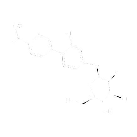 COC(=O)c1ccc(-c2ccc(O[C@@H]3O[C@H](CO)[C@@H](O)[C@H](O)[C@@H]3O)cc2Cl)cc1